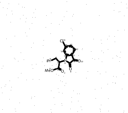 COC(=O)C(CC(C)C)N1C(=O)C(=O)c2ccc(Cl)cc21